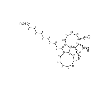 CCCCCCCCCCCCCCCCCCCCP1CCCCCCCC1C1CCCCCC(=C=O)C(=C=O)C1=C=O